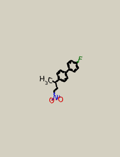 CC(CC[N+](=O)[O-])c1ccc(-c2ccc(F)cc2)cc1